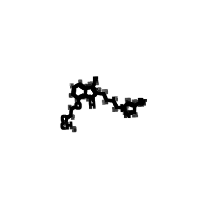 COCCOc1cccc2c(F)c(CCCCn3cc(Br)cn3)[nH]c12